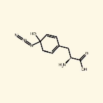 [N-]=[N+]=NC1(O)C=CC(C[C@H](N)C(=O)O)=CC1